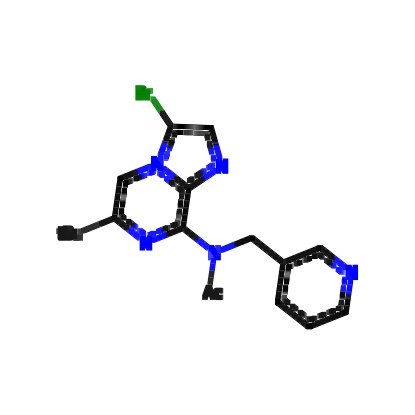 CC(=O)N(Cc1cccnc1)c1nc(C(C)(C)C)cn2c(Br)cnc12